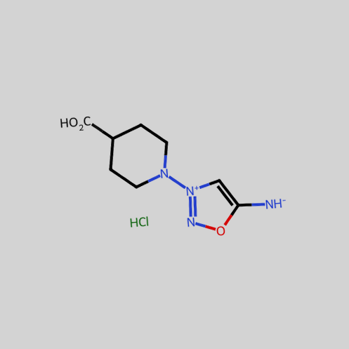 Cl.[NH-]c1c[n+](N2CCC(C(=O)O)CC2)no1